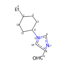 CCC1CCC(n2cnc(C=O)c2)CC1